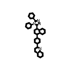 c1ccc(-c2nnc(-c3ccc(-c4ccc(-c5ccc6ccccc6n5)cc4)c4ccccc34)n2-c2ccccc2)cc1